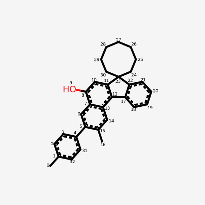 Cc1ccc(-c2cc3c(O)cc4c(c3cc2C)-c2ccccc2C42CCCCCCC2)cc1